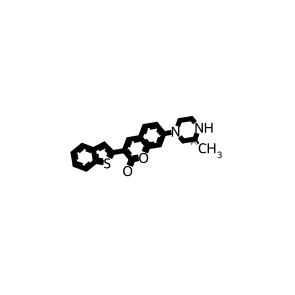 C[C@@H]1CN(c2ccc3cc(-c4cc5ccccc5s4)c(=O)oc3c2)CCN1